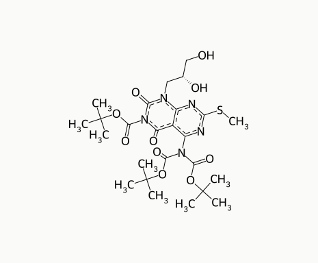 CSc1nc(N(C(=O)OC(C)(C)C)C(=O)OC(C)(C)C)c2c(=O)n(C(=O)OC(C)(C)C)c(=O)n(C[C@@H](O)CO)c2n1